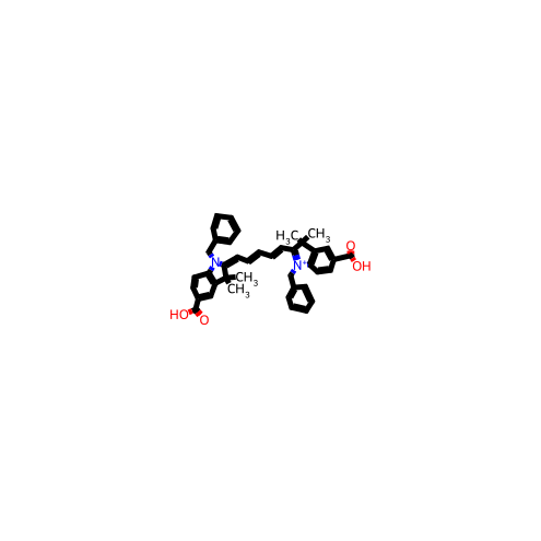 CC1(C)C(/C=C/C=C/C=C2/N(Cc3ccccc3)c3ccc(C(=O)O)cc3C2(C)C)=[N+](Cc2ccccc2)c2ccc(C(=O)O)cc21